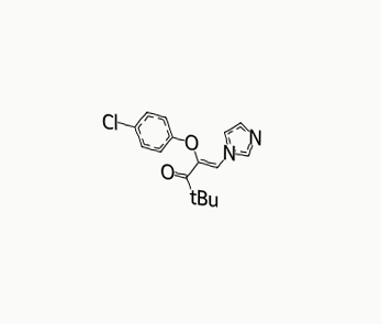 CC(C)(C)C(=O)/C(=C/n1ccnc1)Oc1ccc(Cl)cc1